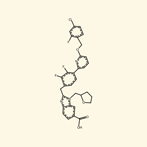 O=C(O)c1ccc2nc(Cc3ccc(-c4cccc(OCc5ccc(Cl)cc5F)n4)c(F)c3F)n(CC3CCCO3)c2c1